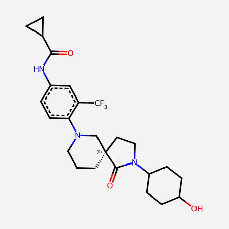 O=C(Nc1ccc(N2CCC[C@@]3(CCN(C4CCC(O)CC4)C3=O)C2)c(C(F)(F)F)c1)C1CC1